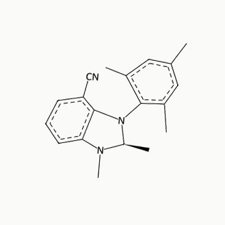 Cc1cc(C)c(N2c3c(C#N)cccc3N(C)[C@@H]2C)c(C)c1